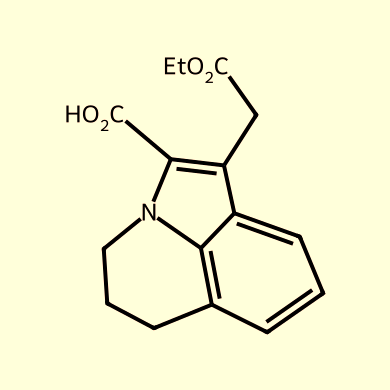 CCOC(=O)Cc1c(C(=O)O)n2c3c(cccc13)CCC2